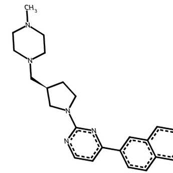 CN1CCN(C[C@H]2CCN(c3nccc(-c4ccc5ccccc5c4)n3)C2)CC1